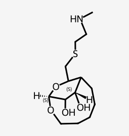 CNCCSCC1O[C@@H]2OCCCCCC1[C@H](O)C2O